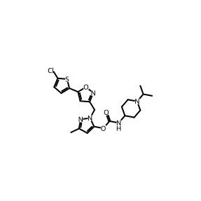 Cc1cc(OC(=O)NC2CCN(C(C)C)CC2)n(Cc2cc(-c3ccc(Cl)s3)on2)n1